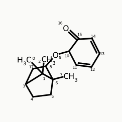 CC1(C)C2CCC1(C)C(OC1C=CC=CC1=O)C2